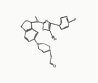 CN(c1nc(-c2ccc(F)cc2)c(C#N)s1)C1CCc2ccc(N3CCN(CC=O)CC3)cc21